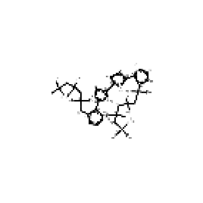 CC(F)(F)CC(F)(F)CC(F)(F)Cc1ccsc1-c1ccc(-c2ccc(-c3sccc3C(F)(F)CC(F)(F)CC(F)(F)CC(F)(F)F)s2)s1